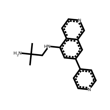 CC(C)(N)CNc1cc(-c2ccncc2)cc2cnccc12